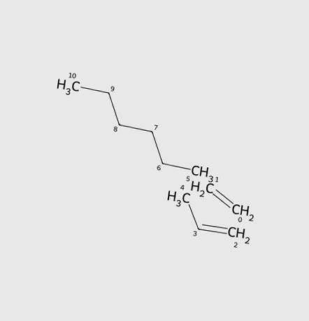 C=C.C=CC.CCCCCC